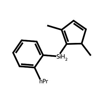 CCCc1ccccc1[SiH2]C1=C(C)C=CC1C